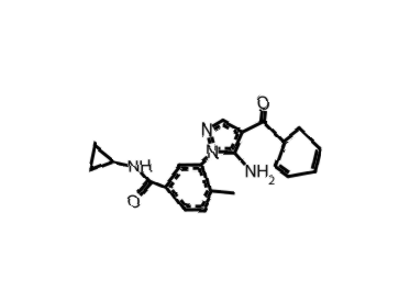 Cc1ccc(C(=O)NC2CC2)cc1-n1ncc(C(=O)C2C=CC=CC2)c1N